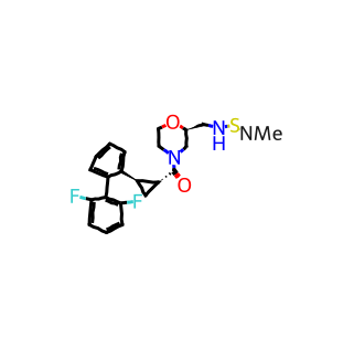 CNSNC[C@H]1CN(C(=O)[C@@H]2C[C@H]2c2ccccc2-c2c(F)cccc2F)CCO1